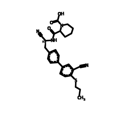 CCCSc1ccc(-c2ccc(C[C@@H](C#N)NC(=O)C3CCCCN3C(=O)O)cc2)cc1C#N